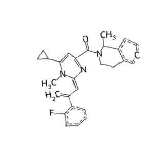 C=C(/C=C1/N=C(C(=O)N2CCc3ccccc3C2C)C=C(C2CC2)N1C)c1ccccc1F